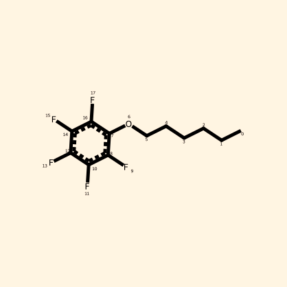 CCCCCCOc1c(F)c(F)c(F)c(F)c1F